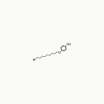 Oc1ccc(OCCCCCCCCCBr)cc1